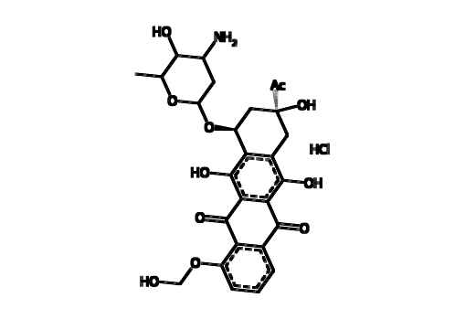 CC(=O)[C@]1(O)Cc2c(O)c3c(c(O)c2[C@@H](OC2CC(N)C(O)C(C)O2)C1)C(=O)c1c(OCO)cccc1C3=O.Cl